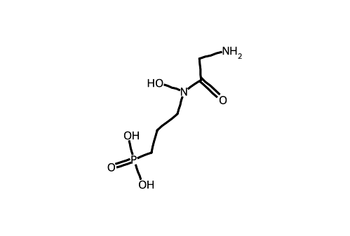 NCC(=O)N(O)CCCP(=O)(O)O